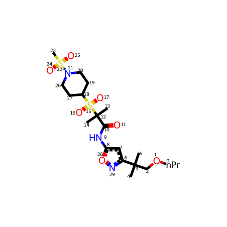 CCCOCC(C)(C)c1cc(NC(=O)C(C)(C)S(=O)(=O)C2CCN(S(C)(=O)=O)CC2)on1